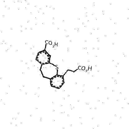 O=C(O)CCc1cccc2c1Sc1cc(C(=O)O)ccc1CC2